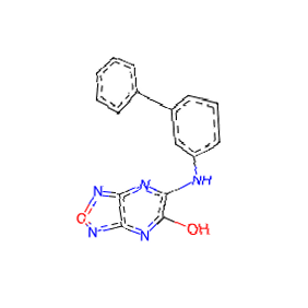 Oc1nc2nonc2nc1Nc1cccc(-c2ccccc2)c1